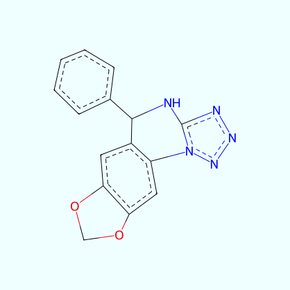 c1ccc(C2Nc3nnnn3-c3cc4c(cc32)OCO4)cc1